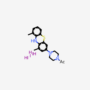 CC(=O)N1CCN(c2cc(C)c3c(c2)Sc2cccc(C)c2N3)CC1.I.I.I